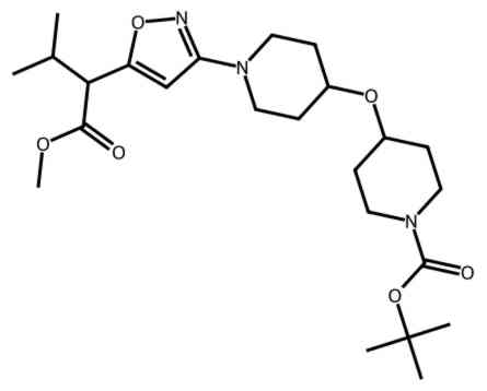 COC(=O)C(c1cc(N2CCC(OC3CCN(C(=O)OC(C)(C)C)CC3)CC2)no1)C(C)C